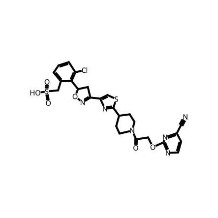 N#Cc1ccnc(OCC(=O)N2CCC(c3nc(C4=NOC(c5c(Cl)cccc5CS(=O)(=O)O)C4)cs3)CC2)n1